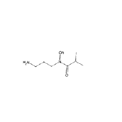 CC(C)C(=O)N(O)CCCN